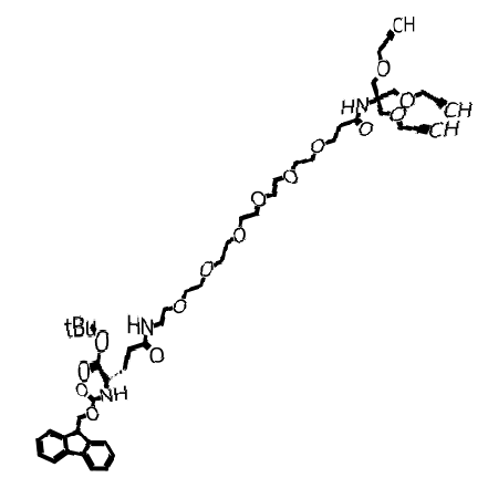 C#CCOCC(COCC#C)(COCC#C)NC(=O)CCOCCOCCOCCOCCOCCOCCNC(=O)CC[C@H](NC(=O)OCC1c2ccccc2-c2ccccc21)C(=O)OC(C)(C)C